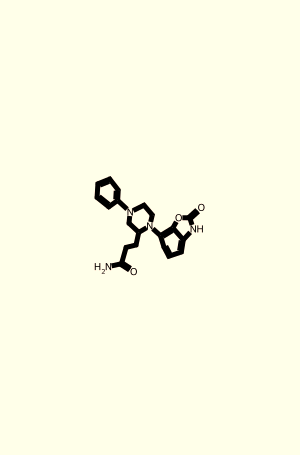 NC(=O)CCC1CN(c2ccccc2)CCN1c1cccc2[nH]c(=O)oc12